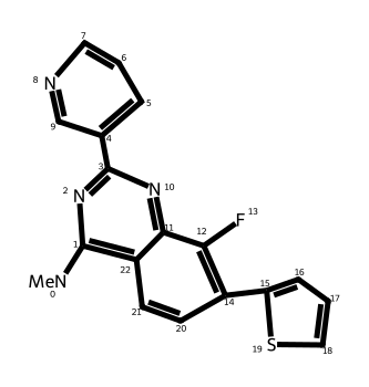 CNc1nc(-c2cccnc2)nc2c(F)c(-c3cccs3)ccc12